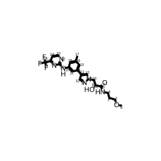 COCCCNC(=O)[C@@H](O)Cn1cc(-c2cc(C)cc(Nc3nccc(C(F)(F)F)n3)c2)cn1